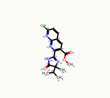 COC(=O)c1cc2ccc(Cl)nc2nc1C1=NC(C)(C(C)C)C(=O)N1